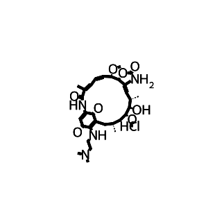 CO[C@H]1/C=C\C=C(/C)C(=O)NC2=CC(=O)C(NCCN(C)C)=C(C[C@@H](C)C[C@H](OC)[C@H](O)[C@@H](C)/C=C(\C)[C@@H]1OC(N)=O)C2=O.Cl